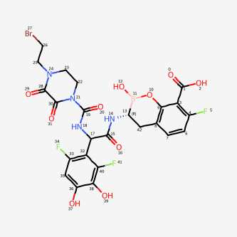 O=C(O)c1c(F)ccc2c1OB(O)[C@@H](NC(=O)C(NC(=O)N1CCN(CCBr)C(=O)C1=O)c1c(F)cc(O)c(O)c1F)C2